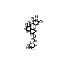 O=C1CCC(c2noc3ccc4cc(OCCN5CCNCC5)ccc4c23)C(=O)N1